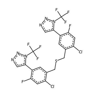 Fc1cc(Cl)c(CSCc2cc(-c3cnnn3C(F)(F)F)c(F)cc2Cl)cc1-c1cnnn1C(F)(F)F